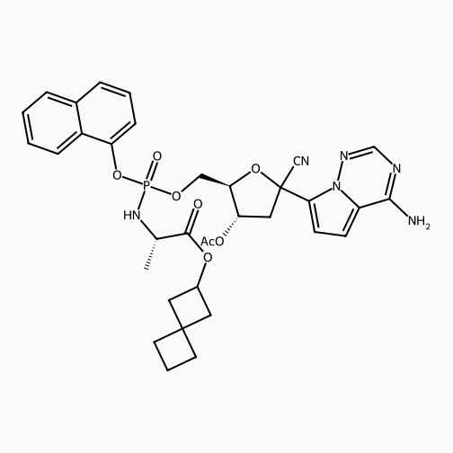 CC(=O)O[C@H]1CC(C#N)(c2ccc3c(N)ncnn23)O[C@@H]1COP(=O)(N[C@@H](C)C(=O)OC1CC2(CCC2)C1)Oc1cccc2ccccc12